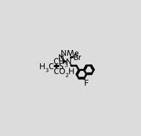 CN/N=C(/SC(C)(C)C(=O)O)N(CBr)CCc1ccc(F)c2ccccc12